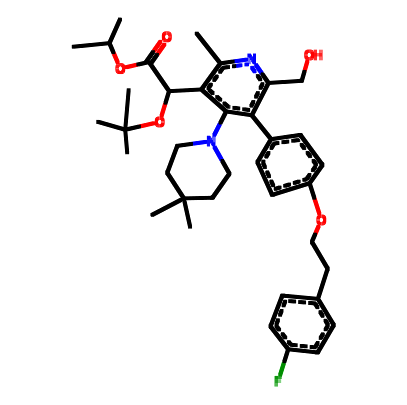 Cc1nc(CO)c(-c2ccc(OCCc3ccc(F)cc3)cc2)c(N2CCC(C)(C)CC2)c1C(OC(C)(C)C)C(=O)OC(C)C